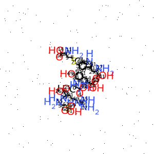 CC(N)C(=O)O.CSCCC(N)C(=O)O.N=C(N)NCCCC(N)C(=O)O.NC(Cc1c[nH]c2ccccc12)C(=O)O.NC(Cc1ccc(O)cc1)C(=O)O.NCCS(=O)(=O)O